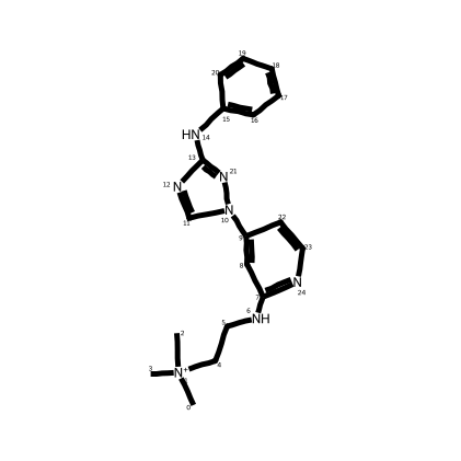 C[N+](C)(C)CCNc1cc(-n2cnc(Nc3ccccc3)n2)ccn1